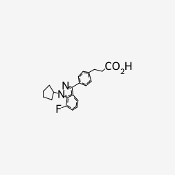 O=C(O)CCc1ccc(-c2nn(C3CCCC3)c3c(F)cccc23)cc1